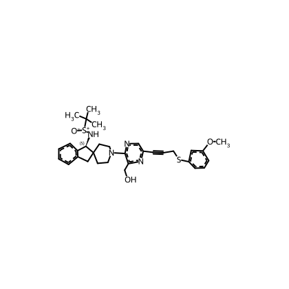 COc1cccc(SCC#Cc2cnc(N3CCC4(CC3)Cc3ccccc3[C@H]4N[S+]([O-])C(C)(C)C)c(CO)n2)c1